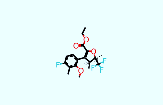 CCOC(=O)C1=C(c2ccc(F)c(C)c2OC)[C@H](C)[C@](C)(C(F)(F)F)O1